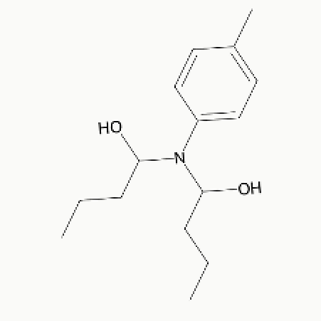 CCCC(O)N(c1ccc(C)cc1)C(O)CCC